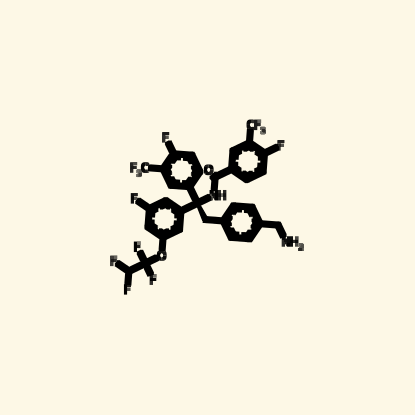 NCc1ccc(C[C@@](NC(=O)c2ccc(F)c(C(F)(F)F)c2)(c2cc(F)cc(OC(F)(F)C(F)F)c2)c2ccc(F)c(C(F)(F)F)c2)cc1